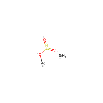 CC(=O)O[SH](=O)=O.[SrH2]